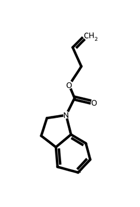 C=CCOC(=O)N1CCc2c[c]ccc21